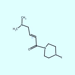 CN(C)C/C=C/C(=O)N1CCN(I)CC1